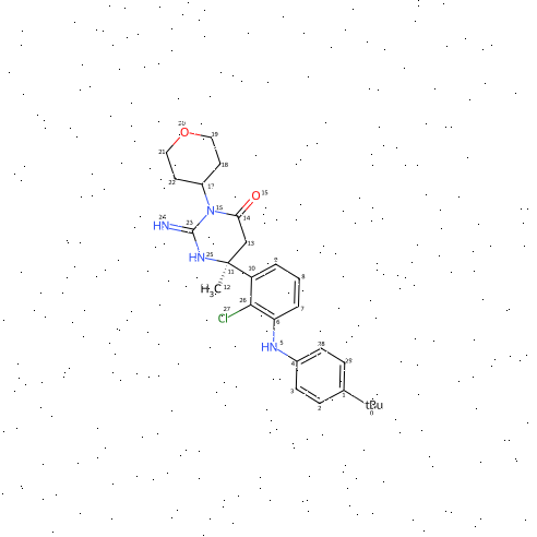 CC(C)(C)c1ccc(Nc2cccc([C@]3(C)CC(=O)N(C4CCOCC4)C(=N)N3)c2Cl)cc1